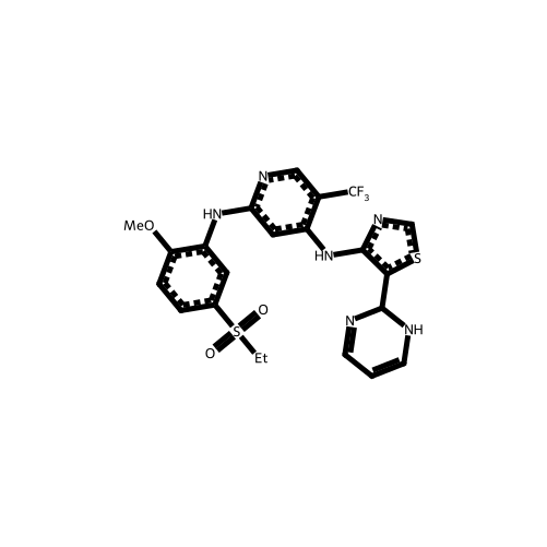 CCS(=O)(=O)c1ccc(OC)c(Nc2cc(Nc3ncsc3C3N=CC=CN3)c(C(F)(F)F)cn2)c1